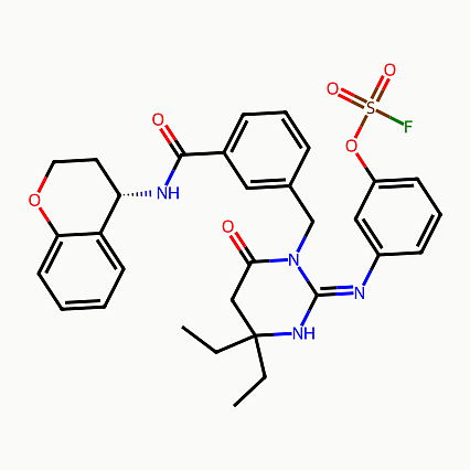 CCC1(CC)CC(=O)N(Cc2cccc(C(=O)N[C@H]3CCOc4ccccc43)c2)/C(=N\c2cccc(OS(=O)(=O)F)c2)N1